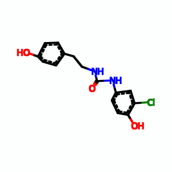 O=C(NCCc1ccc(O)cc1)Nc1ccc(O)c(Cl)c1